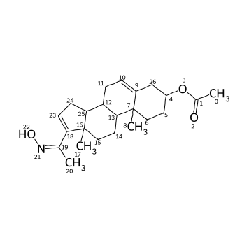 CC(=O)OC1CCC2(C)C(=CCC3C2CCC2(C)C(/C(C)=N\O)=CCC32)C1